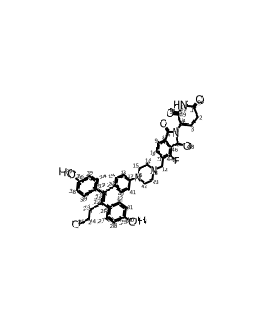 O=C1CCC(N2C(=O)c3ccc(CN4CCN(c5ccc(C(=C(CCCl)c6ccc(O)cc6)c6ccc(O)cc6)cc5)CC4)c(F)c3C2=O)C(=O)N1